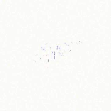 COc1ccc2nc(Nc3cccnc3Oc3ccc(F)cc3C3(C(F)(F)F)CCO3)[nH]c2n1